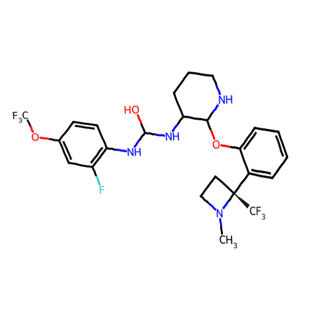 CN1CC[C@@]1(c1ccccc1OC1NCCCC1NC(O)Nc1ccc(OC(F)(F)F)cc1F)C(F)(F)F